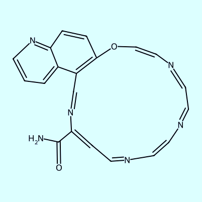 NC(=O)c1ccnccnccnccoc2ccc3ncccc3c2cn1